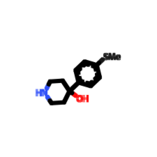 CSc1ccc(C2(O)CCNCC2)cc1